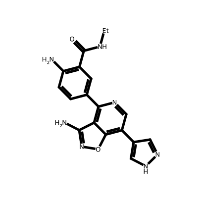 CCNC(=O)c1cc(-c2ncc(-c3cn[nH]c3)c3onc(N)c23)ccc1N